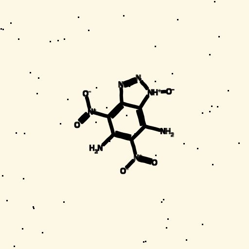 Nc1c([N+](=O)[O-])c(N)c2c(c1[N+](=O)[O-])N=N[NH+]2[O-]